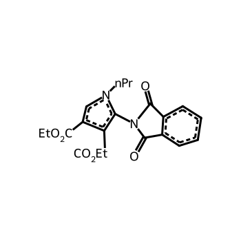 CCCn1cc(C(=O)OCC)c(C(=O)OCC)c1N1C(=O)c2ccccc2C1=O